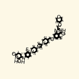 O=C1CCC(Nc2ccc(N3CCC(N4CC(N5CCC(COc6cc(F)c7c(=O)[nH]c(COC8CCOCC8)nc7c6)CC5)C4)CC3)c(F)c2)C(=O)N1